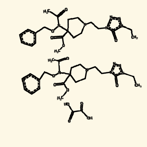 CCn1nnn(CCN2CCC(C(=O)OC)(N(OCc3ccccc3)C(C)=O)CC2)c1=O.CCn1nnn(CCN2CCC(C(=O)OC)(N(OCc3ccccc3)C(C)=O)CC2)c1=O.O=C(O)C(=O)O